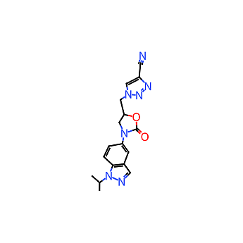 CC(C)n1ncc2cc(N3CC(Cn4cc(C#N)nn4)OC3=O)ccc21